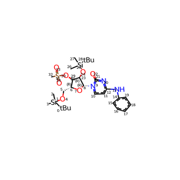 CC(C)(C)[Si](C)(C)OC[C@H]1O[C@@H](n2ccc(Nc3ccccc3)nc2=O)[C@H](O[Si](C)(C)C(C)(C)C)[C@@H]1OS(C)(=O)=O